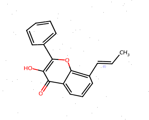 C/C=C/c1cccc2c(=O)c(O)c(-c3ccccc3)oc12